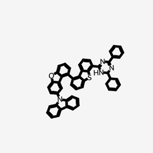 C1=CCC(C2N=C(c3ccccc3)N=C(c3cccc4c3sc3cccc(-c5cccc6oc7ccc(-n8c9ccccc9c9ccccc98)cc7c56)c34)N2)C=C1